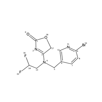 O=C1N=C(N(Cc2ccc(Br)nc2)CC(F)F)CO1